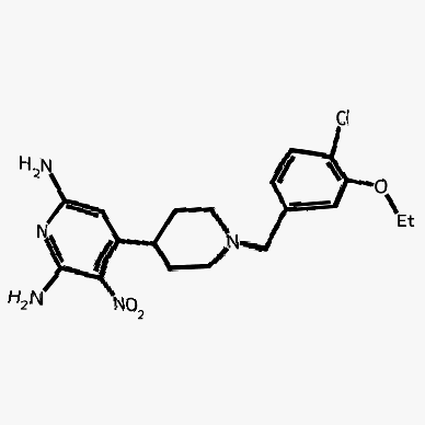 CCOc1cc(CN2CCC(c3cc(N)nc(N)c3[N+](=O)[O-])CC2)ccc1Cl